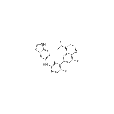 CC(C)N1CCOc2c(F)cc(-c3nc(Nc4ccc5[nH]ccc5c4)ncc3F)cc21